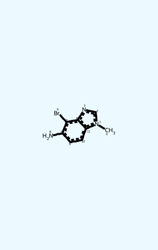 Cn1cnc2c(Br)c(N)ccc21